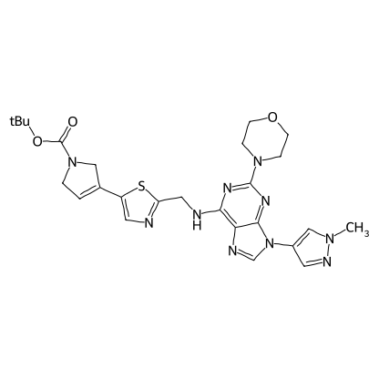 Cn1cc(-n2cnc3c(NCc4ncc(C5=CCN(C(=O)OC(C)(C)C)C5)s4)nc(N4CCOCC4)nc32)cn1